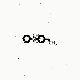 C=Cc1ccc([Si](C)(C)c2ccccc2)cc1